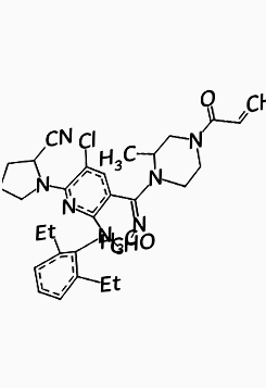 C=CC(=O)N1CCN(/C(=N/C)c2cc(Cl)c(N3CCCC3C#N)nc2N(C=O)c2c(CC)cccc2CC)C(C)C1